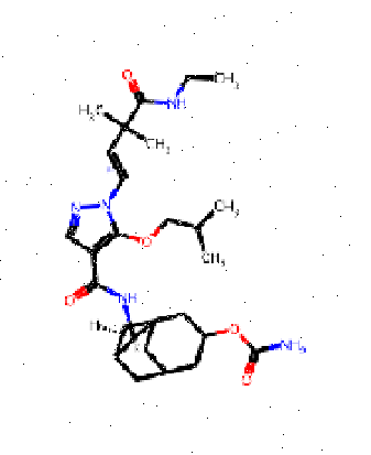 CCNC(=O)C(C)(C)/C=C/n1ncc(C(=O)N[C@@H]2C3CC4CC(OC(N)=O)CC2(C4)C3)c1OCC(C)C